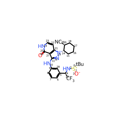 CC(C)(C)[S+]([O-])N[C@H](c1cccc(Nc2nn([C@H]3CCCC[C@@H]3C#N)c3cc[nH]c(=O)c23)c1)C(F)(F)F